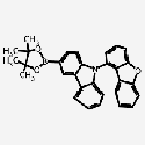 CC1(C)OB(c2ccc3c(c2)c2ccccc2n3-c2cccc3oc4ccccc4c23)OC1(C)C